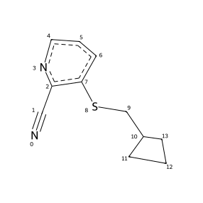 N#Cc1ncccc1SCC1CCC1